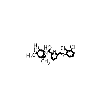 CC1(C)C[C@@H]2C[C@@](C)(CN2C(=O)c2cccc(CSc3cccc(Cl)c3Cl)n2)C1